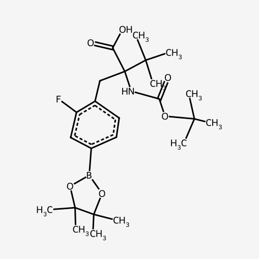 CC(C)(C)OC(=O)NC(Cc1ccc(B2OC(C)(C)C(C)(C)O2)cc1F)(C(=O)O)C(C)(C)C